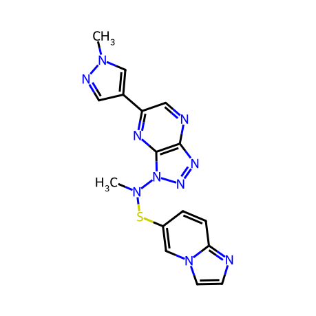 CN(Sc1ccc2nccn2c1)n1nnc2ncc(-c3cnn(C)c3)nc21